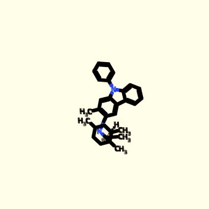 Cc1cc2c(cc1N1[C@@H](C)C3(C)CCC1(C)CC3C)c1ccccc1n2-c1ccccc1